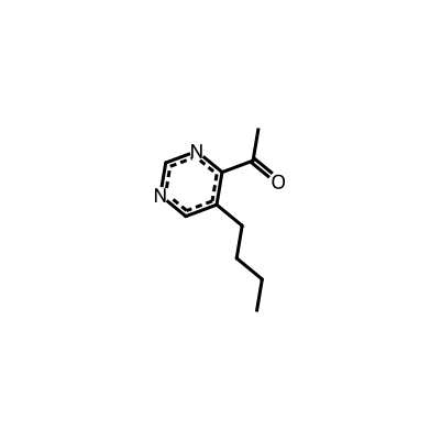 CCCCc1cncnc1C(C)=O